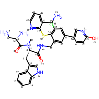 CN(C(=O)[C@@H](N)CN)[C@@H](Cc1c[nH]c2ccccc12)C(=O)NCc1cc(-c2ccc(O)nc2)cc(Cl)c1Sc1ncccc1CN